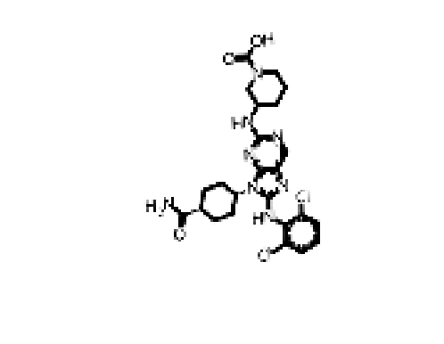 NC(=O)[C@H]1CC[C@H](n2c(Nc3c(Cl)cccc3Cl)nc3cnc(NC4CCCN(C(=O)O)C4)nc32)CC1